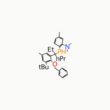 CCCC(CC)(Pc1ccc(C)cc1N(C)C)c1cc(C)cc(C(C)(C)C)c1OCc1ccccc1